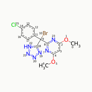 COc1cc(OC)nc(C(Br)(c2ccc(Cl)cc2)c2nnn[nH]2)n1